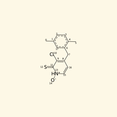 Cc1ccc(C)c(CC2=C(Cl)C(=S)[NH+]([O-])C=C2)c1